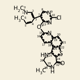 C=N/C=C(\C=C/C)c1cnc(Cl)nc1Oc1ccc2c(ccc3sc4c(c32)NC[C@@H](C)NC4=O)n1